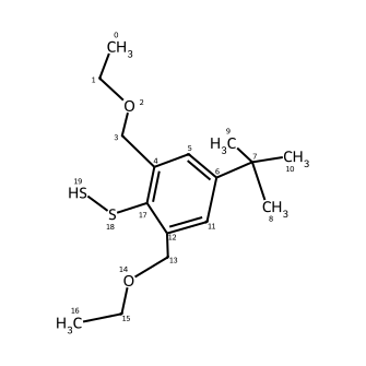 CCOCc1cc(C(C)(C)C)cc(COCC)c1SS